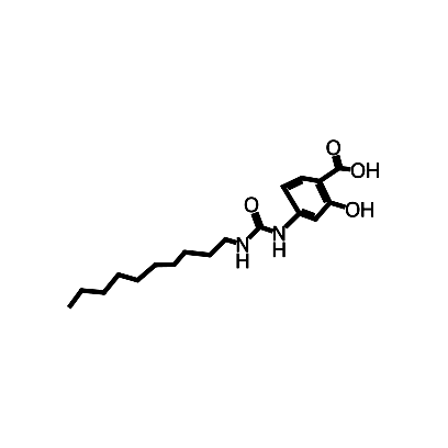 CCCCCCCCCCNC(=O)Nc1ccc(C(=O)O)c(O)c1